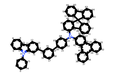 c1ccc(-n2c3ccccc3c3ccc(-c4cccc(-c5ccc(N(c6ccc7c8ccccc8c8ccccc8c7c6)c6cccc7c6-c6ccccc6C76c7ccccc7-c7ccccc76)cc5)c4)cc32)cc1